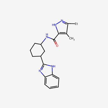 CCc1n[nH]c(C(=O)NC2CCCC(c3nc4ccccc4[nH]3)C2)c1C